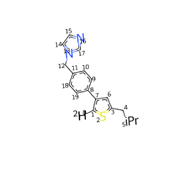 [2H]c1sc(CC(C)C)cc1-c1ccc(Cn2ccnc2)cc1